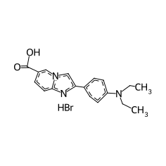 Br.CCN(CC)c1ccc(-c2cn3cc(C(=O)O)ccc3n2)cc1